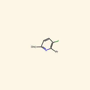 CC(C)c1nc(C=O)ccc1F